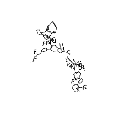 Cc1cc(Oc2c(F)cccc2F)ncc1-n1ncc(C(=O)c2cc3cc(OCC(F)F)c(NS(=O)(=O)c4ccccc4Cl)cc3[nH]2)c1N